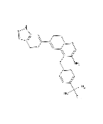 CC(C)(C#N)c1ccc(Cc2c(N)cnc3ccc(-c4ccc5cn[nH]c5c4)cc23)cc1